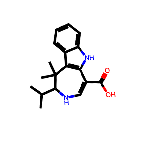 CC(C)C1NC=C(C(=O)O)c2[nH]c3ccccc3c2C1(C)C